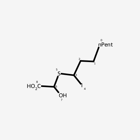 CCCCCCCC(I)SC(O)C(=O)O